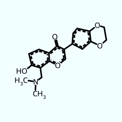 CN(C)Cc1c(O)ccc2c(=O)c(-c3ccc4c(c3)OCCO4)coc12